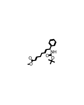 COC(=O)C=CCC/C=C/[C@@H](NC(=O)OC(C)(C)C)c1ccccc1